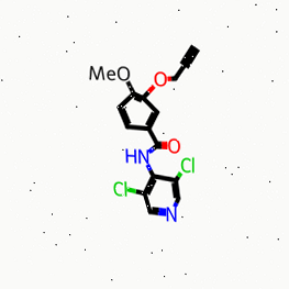 C#CCOc1cc(C(=O)Nc2c(Cl)cncc2Cl)ccc1OC